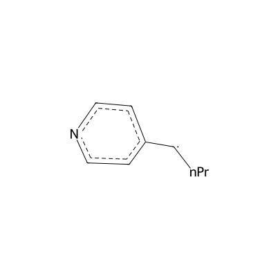 CCC[CH]c1ccncc1